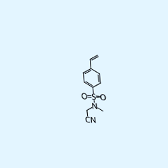 C=Cc1ccc(S(=O)(=O)N(C)CC#N)cc1